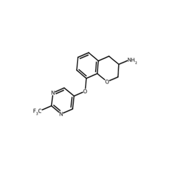 NC1COc2c(cccc2Oc2cnc(C(F)(F)F)nc2)C1